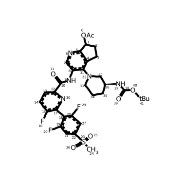 CC(=O)OC1CCc2c1ncc(NC(=O)c1ccc(F)c(-c3c(F)cc(S(C)(=O)=O)cc3F)n1)c2N1CCC[C@H](NC(=O)OC(C)(C)C)C1